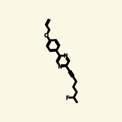 C=CCOc1ccc(-c2cnc(C#CCCCC(C)F)cn2)cc1